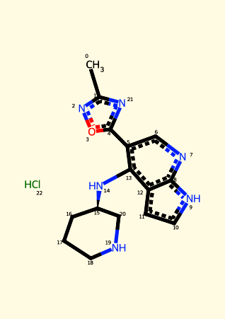 Cc1noc(-c2cnc3[nH]ccc3c2N[C@@H]2CCCNC2)n1.Cl